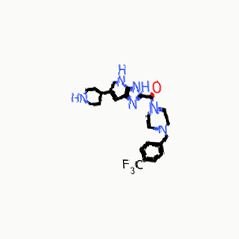 O=C(c1nc2c([nH]1)NCC(C1CCNCC1)=C2)N1CCN(Cc2ccc(C(F)(F)F)cc2)CC1